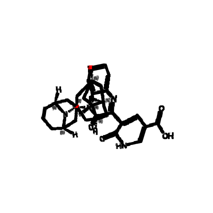 O=C(O)c1c[nH]c(=O)c(-c2nc3ccccc3n([C@H]3C[C@H]4CCC[C@@H](C3)N4[C@@H]3C[C@H]4C[C@H]5C[C@@H](C3)[C@@H]5C4)c2=O)c1